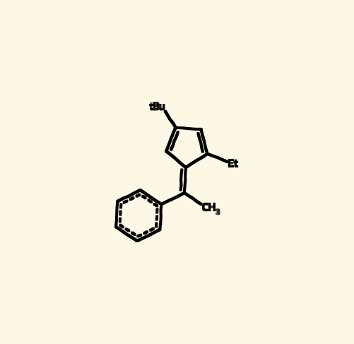 CCC1=CC(C(C)(C)C)=CC1=C(C)c1ccccc1